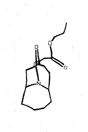 CCOC(=O)ON1C2CCCC1CC(=O)C2